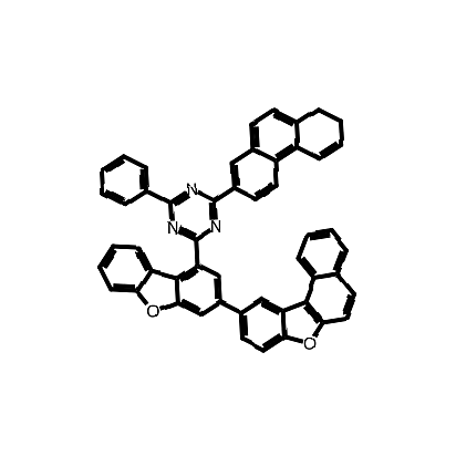 C1=Cc2c(ccc3cc(-c4nc(-c5ccccc5)nc(-c5cc(-c6ccc7oc8ccc9ccccc9c8c7c6)cc6oc7ccccc7c56)n4)ccc23)CC1